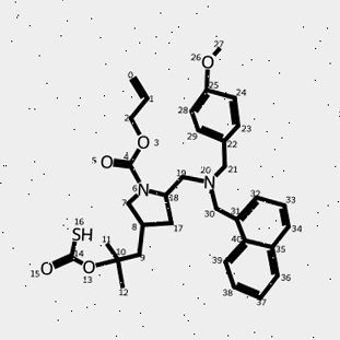 C=CCOC(=O)N1CC(CC(C)(C)OC(=O)S)CC1CN(Cc1ccc(OC)cc1)Cc1cccc2ccccc12